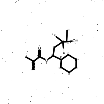 C=C(C)C(=O)OC(CC(F)(F)C(C)O)C1CCCCC1